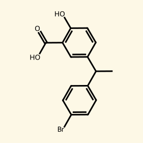 CC(c1ccc(Br)cc1)c1ccc(O)c(C(=O)O)c1